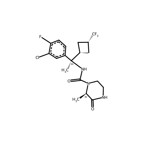 C[C@@H]1C(=O)NCCN1C(=O)N[C@@](C)(c1ccc(F)c(Cl)c1)[C@H]1C[C@@H](C(F)(F)F)C1